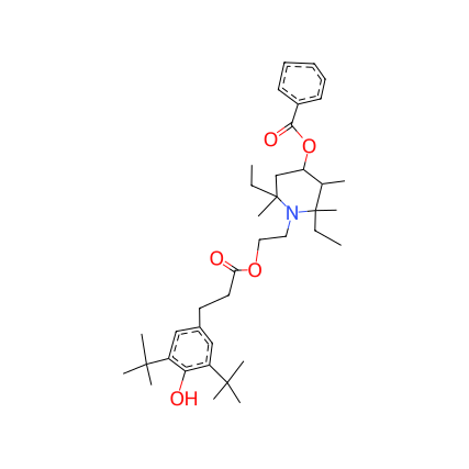 CCC1(C)CC(OC(=O)c2ccccc2)C(C)C(C)(CC)N1CCOC(=O)CCc1cc(C(C)(C)C)c(O)c(C(C)(C)C)c1